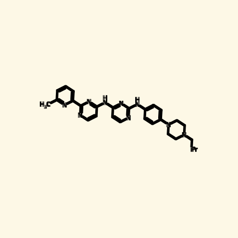 Cc1cccc(-c2nccc(Nc3ccnc(Nc4ccc(N5CCN(CC(C)C)CC5)cc4)n3)n2)n1